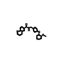 COc1ccccc1Oc1ccc(CNC(=O)c2ccc3ncccc3c2)cc1